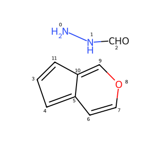 NNC=O.c1cc2ccocc-2c1